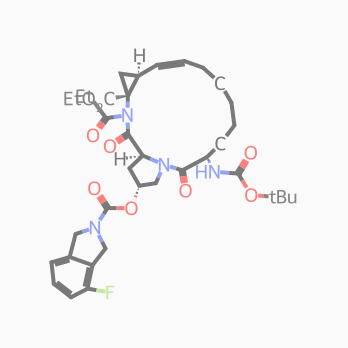 CCOC(=O)[C@@]12C[C@H]1/C=C\CCCCC[C@H](NC(=O)OC(C)(C)C)C(=O)N1C[C@H](OC(=O)N3Cc4cccc(F)c4C3)C[C@H]1C(=O)N2C(=O)CC